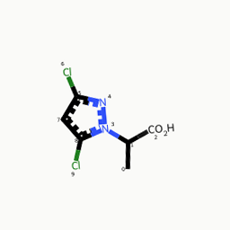 CC(C(=O)O)n1nc(Cl)cc1Cl